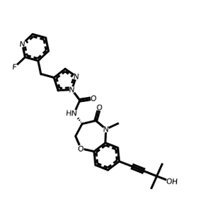 CN1C(=O)[C@@H](NC(=O)n2cc(Cc3cccnc3F)cn2)COc2ccc(C#CC(C)(C)O)cc21